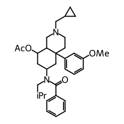 COc1cccc(C23CCN(CC4CC4)CC2C(OC(C)=O)CC(N(CC(C)C)C(=O)c2ccccc2)C3)c1